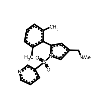 CNCc1cc(-c2c(C)cccc2C)n(S(=O)(=O)c2cccnc2)c1